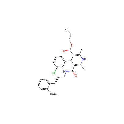 COc1ccccc1C=CCNC(=O)C1=C(C)NC(C)=C(C(=O)OCCC#N)C1c1cccc(Cl)c1